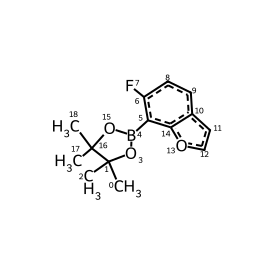 CC1(C)OB(c2c(F)ccc3ccoc23)OC1(C)C